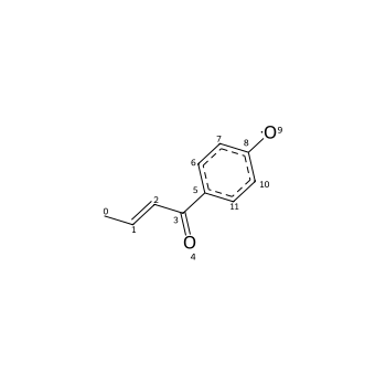 C/C=C/C(=O)c1ccc([O])cc1